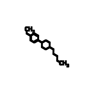 CCCCCC1CCC(c2ccc(CC)cc2)CC1